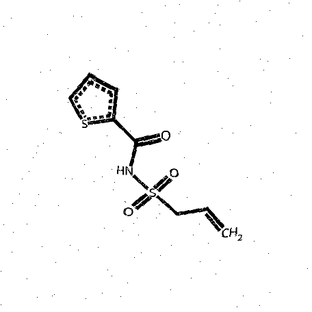 C=CCS(=O)(=O)NC(=O)c1cccs1